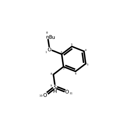 CCCCOc1ccccc1C[SH](=O)=O